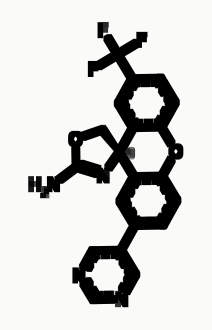 NC1=N[C@@]2(CO1)c1cc(-c3cncnc3)ccc1Oc1ccc(C(F)(F)F)cc12